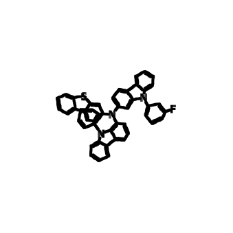 Fc1cccc(-n2c3ccccc3c3ccc(N(c4ccc5c(c4)sc4ccccc45)c4cccc5c6ccccc6n(-c6ccccc6)c45)cc32)c1